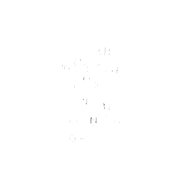 C=C(C)C(=O)OC(CO)CN1C(=O)N(CC2CO2)C(=O)N(CC2CO2)C1O